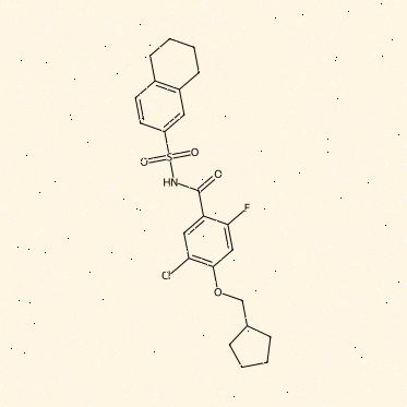 O=C(NS(=O)(=O)c1ccc2c(c1)CCCC2)c1cc(Cl)c(OCC2CCCC2)cc1F